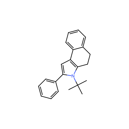 CC(C)(C)n1c(-c2ccccc2)cc2c1CCc1ccccc1-2